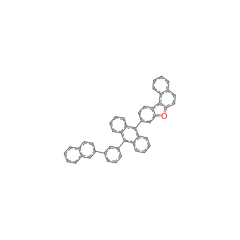 c1cc(-c2ccc3ccccc3c2)cc(-c2c3ccccc3c(-c3ccc4c(c3)oc3ccc5ccccc5c34)c3ccccc23)c1